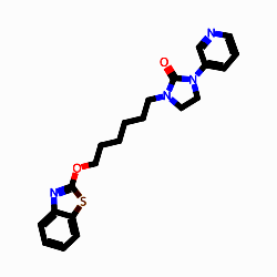 O=C1N(CCCCCCOc2nc3ccccc3s2)CCN1c1cccnc1